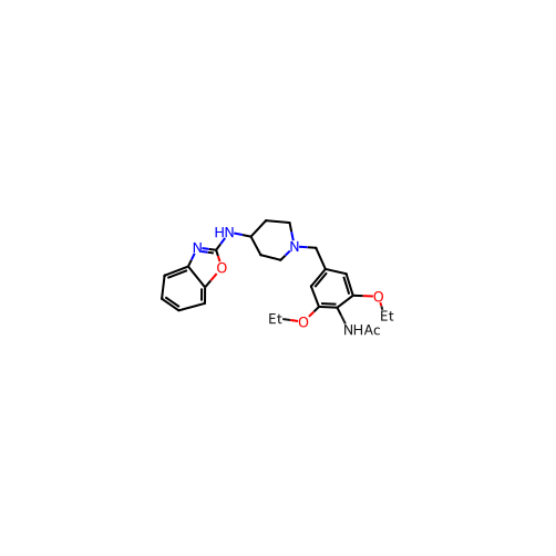 CCOc1cc(CN2CCC(Nc3nc4ccccc4o3)CC2)cc(OCC)c1NC(C)=O